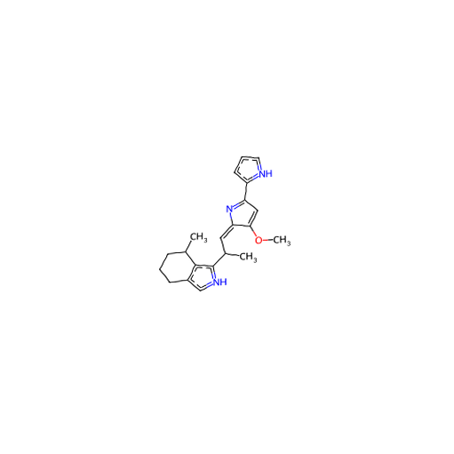 COC1=CC(c2ccc[nH]2)=NC1=CC(C)c1[nH]cc2c1C(C)CCC2